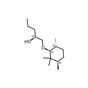 CCC[C@H](O)CO[C@H]1[C@H](C)CC[C@@H](C)C1(C)C